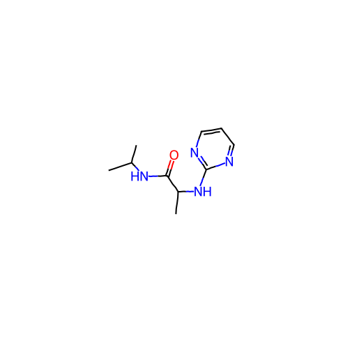 CC(C)NC(=O)C(C)Nc1ncccn1